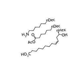 CCCCCCCCCCCCCCCC(=O)OC(C)=O.CCCCCCCCCCCCCCCCN.CCCCCC[C@@H](O)C/C=C\CCCCCCCC(=O)O